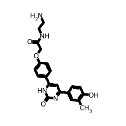 Cc1cc(-c2cc(-c3ccc(OCC(=O)NCCN)cc3)[nH]c(=O)n2)ccc1O